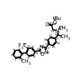 Cc1ccccc1-c1ccc(-c2nc(-c3ccc(C(C)N(C)CC(=O)OC(C)(C)C)cc3)no2)cc1C(F)(F)F